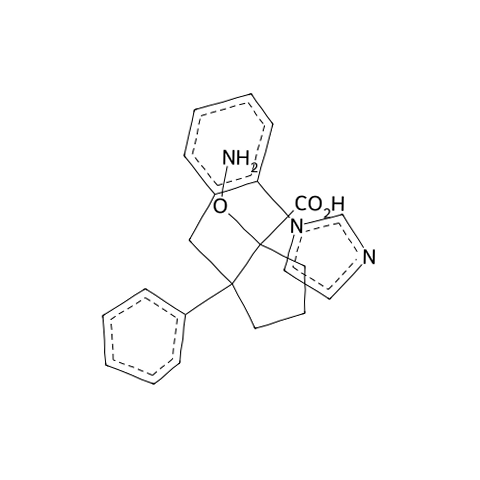 NOC1(C(=O)O)CCCC1(Cc1ccccc1-n1ccnc1)c1ccccc1